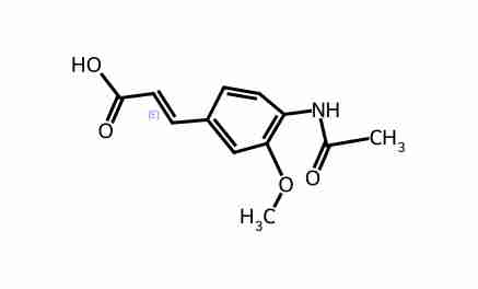 COc1cc(/C=C/C(=O)O)ccc1NC(C)=O